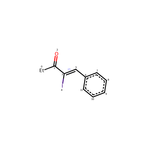 CCC(=O)/C(I)=C/c1ccccc1